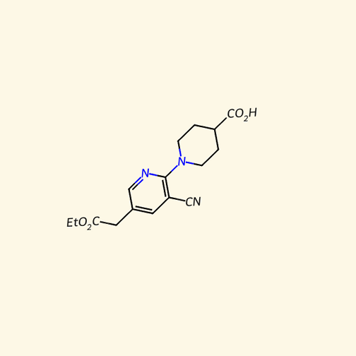 CCOC(=O)Cc1cnc(N2CCC(C(=O)O)CC2)c(C#N)c1